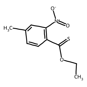 CCOC(=S)c1ccc(C)cc1[N+](=O)[O-]